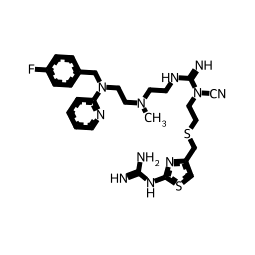 CN(CCNC(=N)N(C#N)CCSCc1csc(NC(=N)N)n1)CCN(Cc1ccc(F)cc1)c1ccccn1